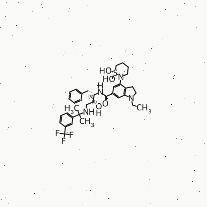 CCN1CCc2c1cc(C(=O)N[C@@H](Cc1ccccc1)[C@H](O)CNC(C)(C)c1cccc(C(F)(F)F)c1)cc2N1CCCCS1(O)O